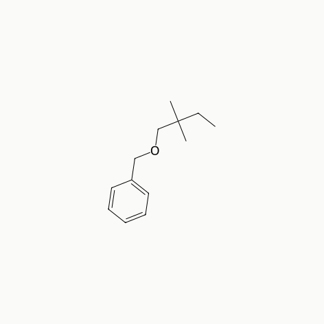 CCC(C)(C)COCc1ccccc1